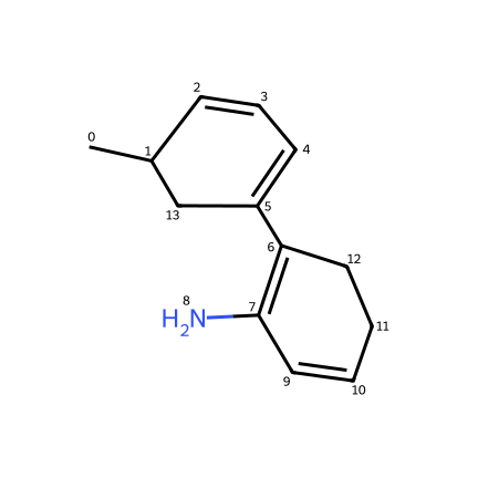 CC1C=CC=C(C2=C(N)C=CCC2)C1